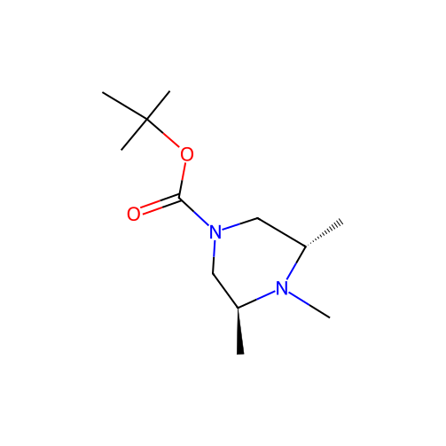 C[C@H]1CN(C(=O)OC(C)(C)C)C[C@H](C)N1C